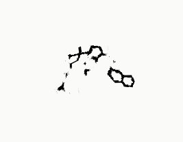 CC(CCONC(=N)N)(C(N)=O)c1ccc(NS(=O)(=O)c2ccc3ccccc3c2)c(=O)n1OC(=O)C(F)(F)F